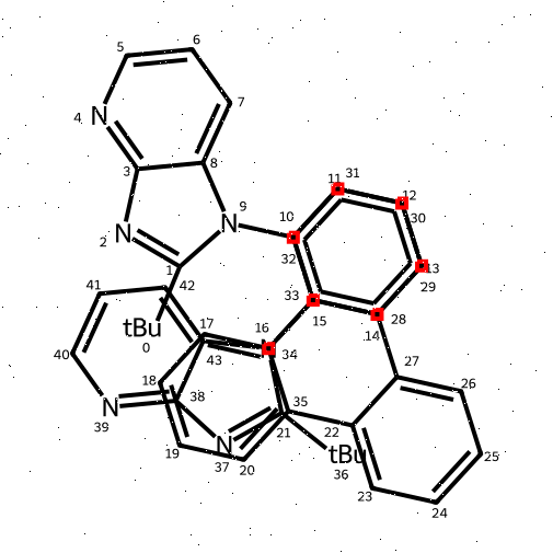 CC(C)(C)c1nc2ncccc2n1-c1ccccc1-c1ccccc1-c1ccccc1-c1ccccc1-n1c(C(C)(C)C)nc2ncccc21